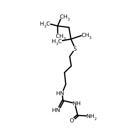 CC(C)(C)CC(C)(C)SCCCCNC(=N)NC(N)=O